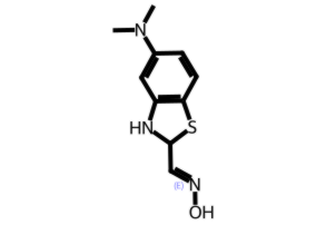 CN(C)c1ccc2c(c1)NC(/C=N/O)S2